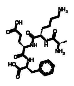 C[C@H](N)C(=O)N[C@@H](CCCCN)C(=O)N[C@@H](CCC(=O)O)C(=O)N[C@@H](Cc1ccccc1)C(=O)O